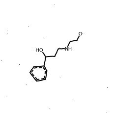 [O]CCNCCC(O)c1ccccc1